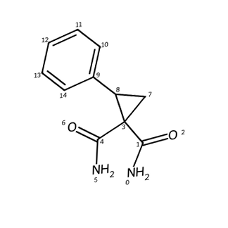 NC(=O)C1(C(N)=O)CC1c1ccccc1